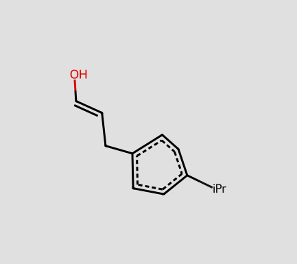 CC(C)c1ccc(C/C=C/O)cc1